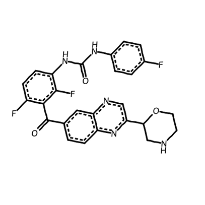 O=C(Nc1ccc(F)cc1)Nc1ccc(F)c(C(=O)c2ccc3nc(C4CNCCO4)cnc3c2)c1F